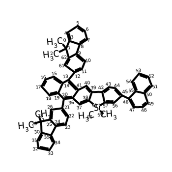 CC1(C)c2ccccc2-c2ccc(-c3c4ccccc4c(-c4ccc5c(c4)C(C)(C)c4ccccc4-5)c4cc5c(cc34)-c3ccc(-c4cccc6ccccc46)cc3[Si]5(C)C)cc21